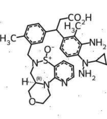 Cc1ccc(C(CC(=O)O)c2ccc(N(N)C3CC3)c(N)c2C)cc1CN1C[C@@H]2COCCN2c2ncccc2[S+]1[O-]